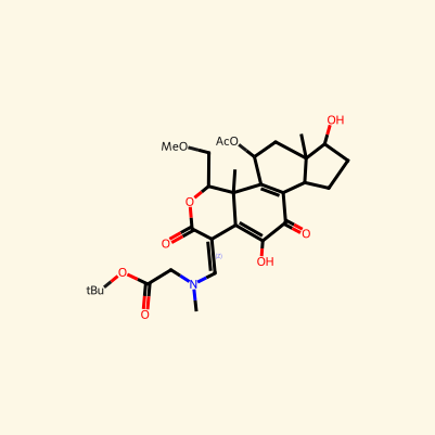 COCC1OC(=O)/C(=C\N(C)CC(=O)OC(C)(C)C)C2=C(O)C(=O)C3=C(C(OC(C)=O)CC4(C)C(O)CCC34)C21C